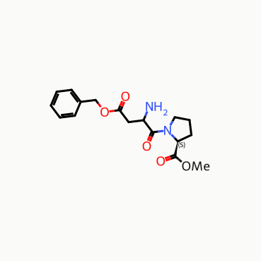 COC(=O)[C@@H]1CCCN1C(=O)C(N)CC(=O)OCc1ccccc1